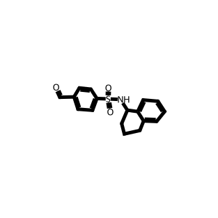 O=Cc1ccc(S(=O)(=O)NC2CCCc3ccccc32)cc1